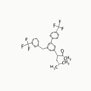 CC(=O)C(CC(C)C)c1cc(Cc2cccc(C(F)(F)F)c2)cc(-c2ccc(C(F)(F)F)cc2)c1